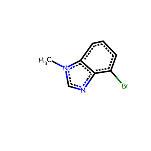 Cn1cnc2c(Br)cccc21